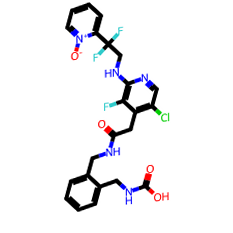 O=C(O)NCc1ccccc1CNC(=O)Cc1c(Cl)cnc(NCC(F)(F)c2cccc[n+]2[O-])c1F